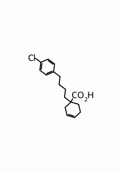 O=C(O)C1(CCCCc2ccc(Cl)cc2)CC=CCC1